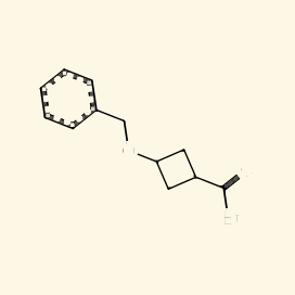 CCC(=O)C1CC(OCc2ccccc2)C1